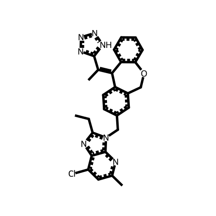 CCc1nc2c(Cl)cc(C)nc2n1Cc1ccc2c(c1)COc1ccccc1/C2=C(/C)c1nnn[nH]1